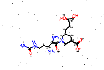 NC(=O)NCC[C@@H](N)C(N)C(=O)N1CC(CCB(O)O)CC(C(=O)O)C1